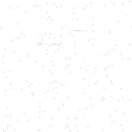 CCCC=CCCC(CC)C(C)C(=O)O